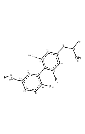 CC(O)Cc1cc(F)c(-c2nc(C(=O)O)ccc2F)c(F)c1